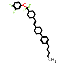 CCCCCc1ccc(C2CCC(/C=C/C3CCC(C(F)(F)Oc4ccc(F)c(F)c4)CC3)CC2)cc1